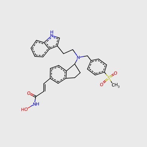 CS(=O)(=O)c1ccc(CN(CCc2c[nH]c3ccccc23)C2CCc3cc(C=CC(=O)NO)ccc32)cc1